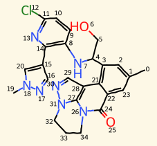 Cc1cc(C(CO)Nc2ccc(Cl)nc2-c2cnn(C)c2)c2c(c1)c(=O)n1c3c2cnn3CCC1